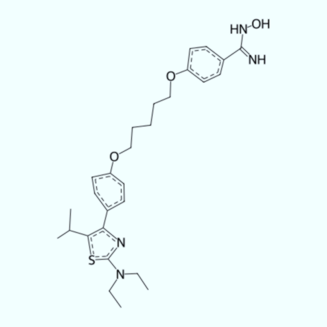 CCN(CC)c1nc(-c2ccc(OCCCCCOc3ccc(C(=N)NO)cc3)cc2)c(C(C)C)s1